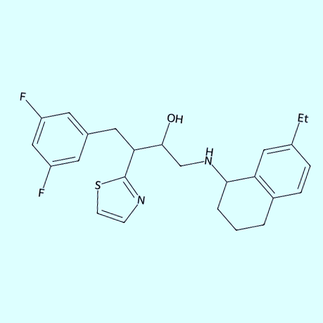 CCc1ccc2c(c1)C(NCC(O)C(Cc1cc(F)cc(F)c1)c1nccs1)CCC2